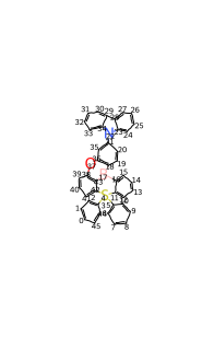 c1ccc(S2(c3ccccc3)c3ccccc3B3c4ccc(-n5c6ccccc6c6ccccc65)cc4Oc4cccc2c43)cc1